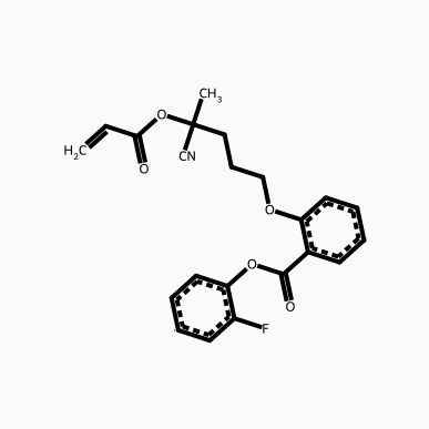 C=CC(=O)OC(C)(C#N)CCCOc1ccccc1C(=O)Oc1cc[c]cc1F